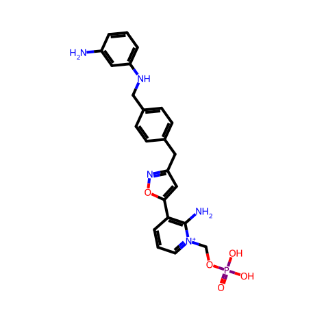 Nc1cccc(NCc2ccc(Cc3cc(-c4ccc[n+](COP(=O)(O)O)c4N)on3)cc2)c1